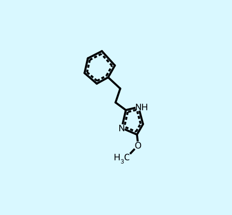 COc1c[nH]c(CCc2ccccc2)n1